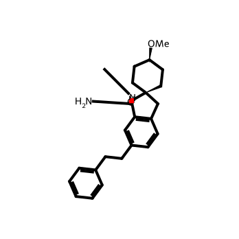 CO[C@H]1CC[C@@]2(CC1)Cc1ccc(CCc3ccccc3)cc1C21N=C(N)N(C)O1